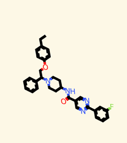 CCc1ccc(OCC(c2ccccc2)N2CCC(NC(=O)c3cnc(-c4cccc(F)c4)nc3)CC2)cc1